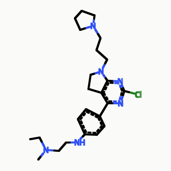 CCN(C)CCNc1ccc(-c2nc(Cl)nc3c2CCN3CCCN2CCCC2)cc1